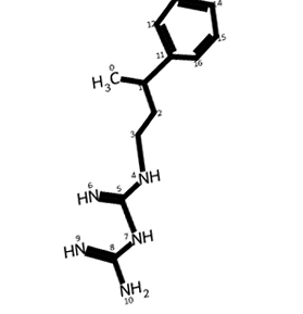 CC(CCNC(=N)NC(=N)N)c1ccccc1